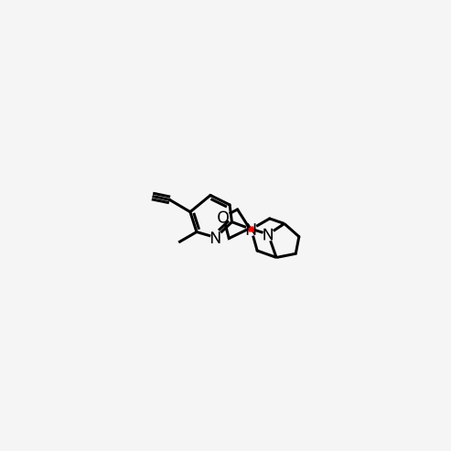 C#Cc1ccc(N2CC3CCC(C2)N3C2COC2)nc1C